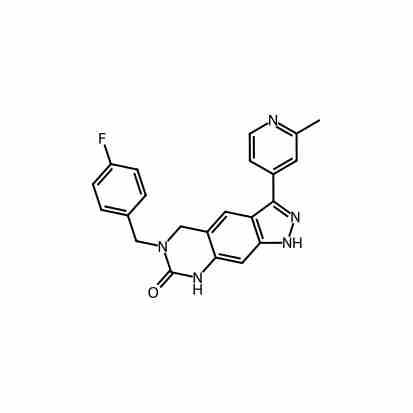 Cc1cc(-c2n[nH]c3cc4c(cc23)CN(Cc2ccc(F)cc2)C(=O)N4)ccn1